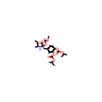 CCC(C)N[C@@](Cc1ccc(OC(=O)OC(C)C)c(OC(=O)OC(C)C)c1)(OC(=O)OC)C(=O)O